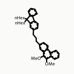 CCCCCCC1(CCCCCC)c2ccccc2-c2ccc(CCCc3ccc4c(c3)c(OC)c(OC)c3ccccc34)cc21